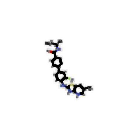 CC[C@H](NC(=O)c1ccc(-c2ccc(Nc3nc4ncc(C(F)(F)F)cc4s3)c(F)c2)cc1)C(=O)O